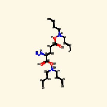 CCCCN(CCCC)OC(=O)CC[C@H](N)C(=O)ON(CCCC)CCCC